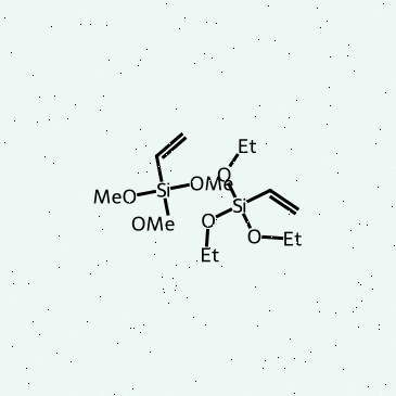 C=C[Si](OC)(OC)OC.C=C[Si](OCC)(OCC)OCC